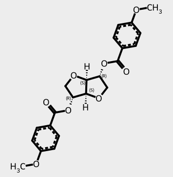 COc1ccc(C(=O)O[C@@H]2CO[C@@H]3[C@H]2OC[C@H]3OC(=O)c2ccc(OC)cc2)cc1